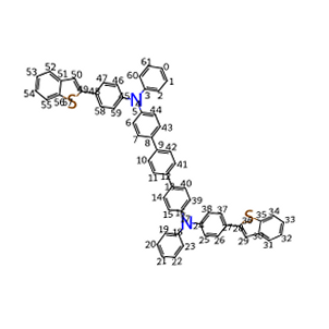 c1ccc(N(c2ccc(-c3ccc(-c4ccc(N(c5ccccc5)c5ccc(-c6cc7ccccc7s6)cc5)cc4)cc3)cc2)c2ccc(-c3cc4ccccc4s3)cc2)cc1